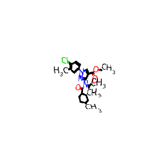 CCOC(=O)c1cn(-c2ccc(Cl)c(C)c2)nc1N(C(=O)C1CCC(C)CC1)C(C)C